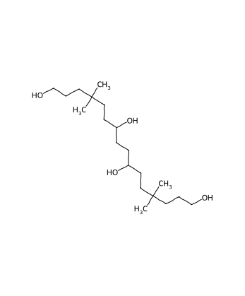 CC(C)(CCCO)CCC(O)CCC(O)CCC(C)(C)CCCO